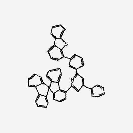 c1ccc(-c2cc(-c3cccc(-c4cccc5c4sc4ccccc45)c3)nc(-c3cccc4c3-c3ccccc3C43c4ccccc4-c4ccccc43)c2)cc1